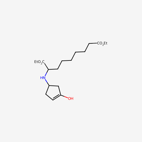 CCOC(=O)CCCCCCC(NC1CC=C(O)C1)C(=O)OCC